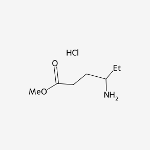 CCC(N)CCC(=O)OC.Cl